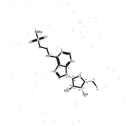 CNS(=O)(=O)CCNc1ncnc2c1ncn2[C@@H]1O[C@H](CF)[C@H](O)[C@H]1O